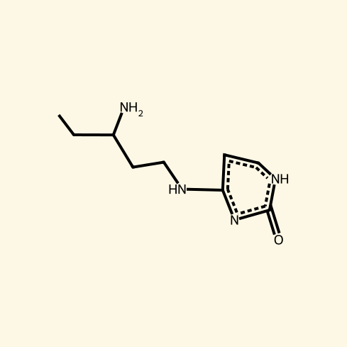 CCC(N)CCNc1cc[nH]c(=O)n1